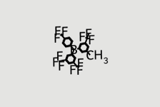 Cc1cc(B(c2ccc(C(F)(F)F)cc2)c2cc(C(F)(F)F)cc(C(F)(F)F)c2)cc(C(F)(F)F)c1